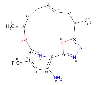 C[C@@H]1CC/C=C/CC(C(F)(F)F)c2nnc(o2)-c2nc(c(C(F)(F)F)cc2N)O1